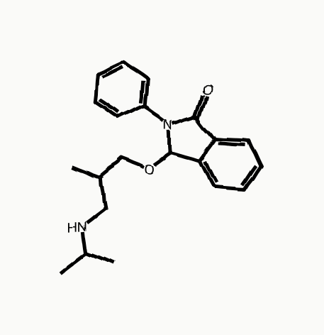 CC(CNC(C)C)COC1c2ccccc2C(=O)N1c1ccccc1